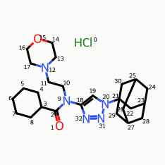 Cl.O=C(C1CCCCC1)N(CCN1CCOCC1)c1cn(C23CC4CC(CC(C4)C2)C3)nn1